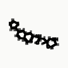 CC1(CC(=O)Nc2cc3cc(-c4cncs4)ccc3cn2)CNCCO1